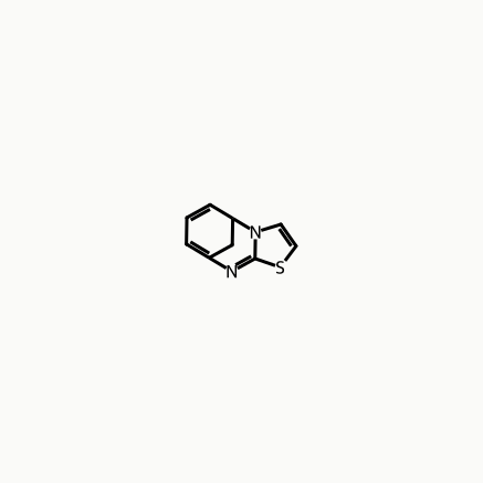 C1=CC2CC(=C1)N=C1SC=CN12